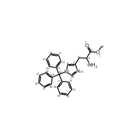 COC(=O)C(N)Cc1cn(C(c2ccccc2)(c2ccccc2)c2ccccc2)cn1